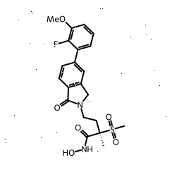 COc1cccc(-c2ccc3c(c2)CN(CC[C@](C)(C(=O)NO)S(C)(=O)=O)C3=O)c1F